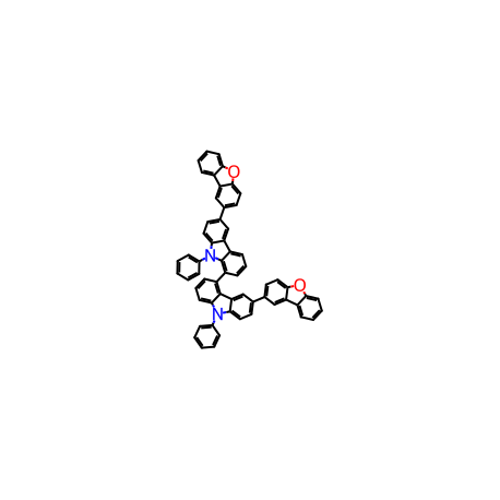 c1ccc(-n2c3ccc(-c4ccc5oc6ccccc6c5c4)cc3c3c(-c4cccc5c6cc(-c7ccc8oc9ccccc9c8c7)ccc6n(-c6ccccc6)c45)cccc32)cc1